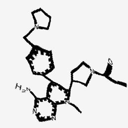 C=CC(=O)N1CCC(c2c(-c3ccc(CN4CCCC4)cc3)c3c(N)ncnc3n2C)C1